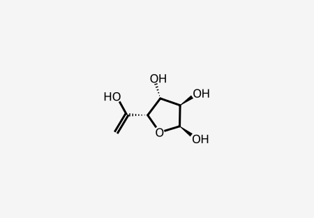 C=C(O)[C@H]1O[C@H](O)[C@H](O)[C@H]1O